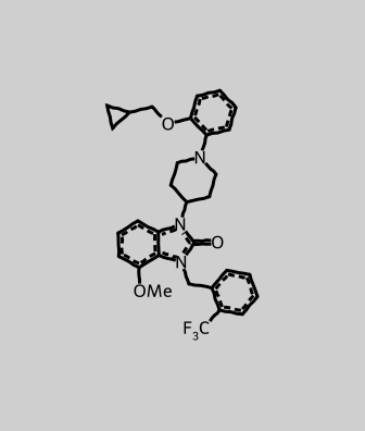 COc1cccc2c1n(Cc1ccccc1C(F)(F)F)c(=O)n2C1CCN(c2ccccc2OCC2CC2)CC1